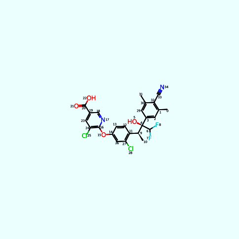 Cc1cc([C@](O)(C(F)F)[C@@H](C)c2ccc(Oc3ncc(C(=O)O)cc3Cl)cc2Cl)cc(C)c1C#N